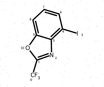 FC(F)(F)c1nc2c(I)cccc2o1